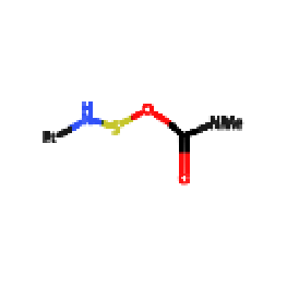 CCNSOC(=O)NC